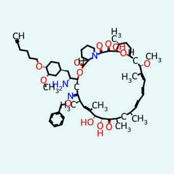 C#CCCCCO[C@@H]1CC[C@@H](C[C@@H](N)[C@@H]2C/C(=N/OCc3ccccc3)[C@H](C)/C=C(\C)[C@@H](O)[C@@H](O)C(=O)[C@H](C)C[C@H](C)/C=C/C=C/C=C(\C)[C@@H](OC)C[C@@H]3CC[C@@H](C)[C@@](O)(O3)C(=O)C(=O)N3CCCC[C@H]3C(=O)O2)C[C@H]1OC